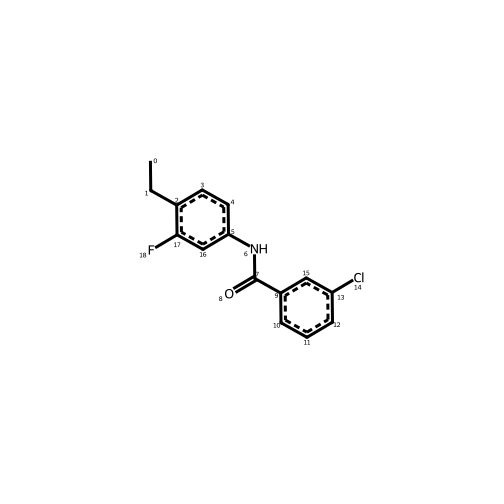 CCc1ccc(NC(=O)c2cccc(Cl)c2)cc1F